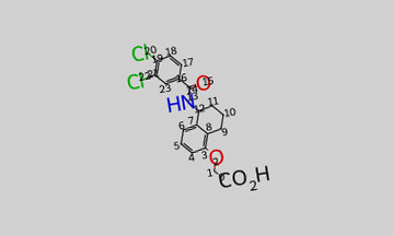 O=C(O)COc1cccc2c1CCCC2NC(=O)c1ccc(Cl)c(Cl)c1